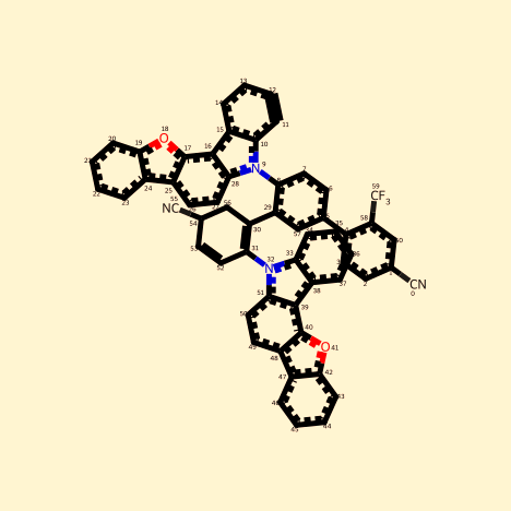 N#Cc1ccc(-c2ccc(-n3c4c#cccc4c4c5oc6ccccc6c5ccc43)c(C3=C(n4c5ccccc5c5c6oc7ccccc7c6ccc54)C=CC(C#N)C3)c2)c(C(F)(F)F)c1